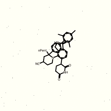 CCCCCC1(c2ccc(-c3c(C)cc(C)cc3C)cc2)CC(C#N)CCN1c1c(C2CCC(=O)NC2=O)ccc2c1CNC2=O